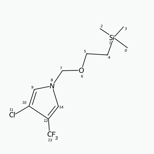 C[Si](C)(C)CCOCn1cc(Cl)c(C(F)(F)F)c1